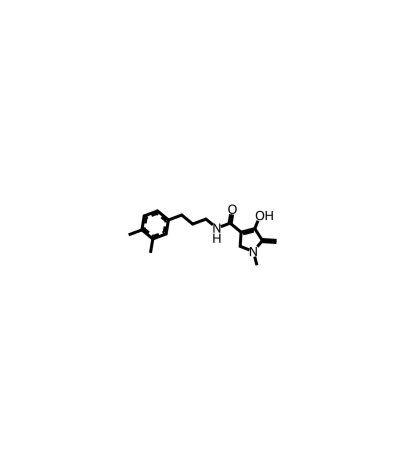 C=C1C(O)=C(C(=O)NCCCc2ccc(C)c(C)c2)CN1C